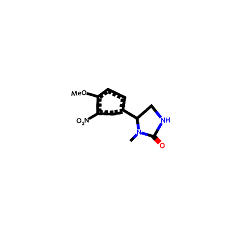 COc1ccc(C2CNC(=O)N2C)cc1[N+](=O)[O-]